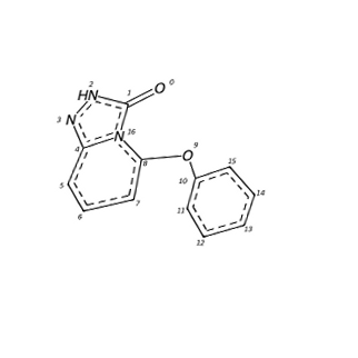 O=c1[nH]nc2cccc(Oc3ccccc3)n12